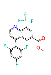 COC(=O)c1cc(C(F)(F)F)c2nccc(-c3c(F)cc(F)cc3F)c2c1